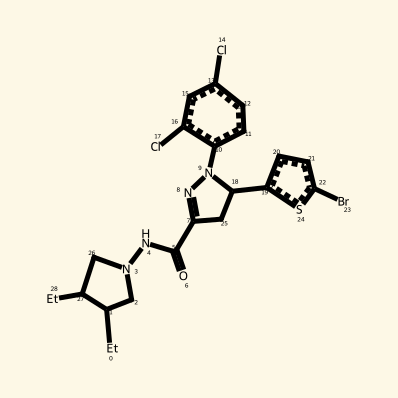 CCC1CN(NC(=O)C2=NN(c3ccc(Cl)cc3Cl)C(c3ccc(Br)s3)C2)CC1CC